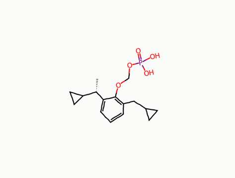 C[C@H](c1cccc(CC2CC2)c1OCOP(=O)(O)O)C1CC1